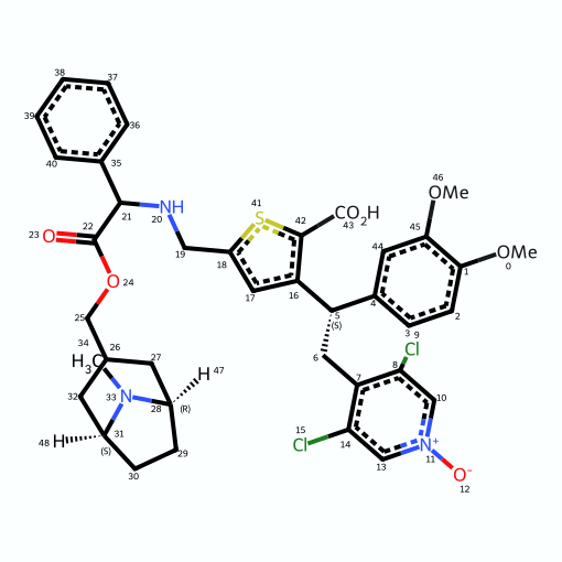 COc1ccc([C@H](Cc2c(Cl)c[n+]([O-])cc2Cl)c2cc(CNC(C(=O)OCC3C[C@H]4CC[C@@H](C3)N4C)c3ccccc3)sc2C(=O)O)cc1OC